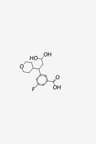 O=C(O)c1cc(F)cc(C(CC(O)O)C2CCOCC2)c1